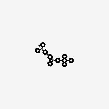 Fc1ccccc1N(c1ccccc1)c1ccc(-c2ccc3c(c2)c2ccccc2n3-c2ccc(-c3c4ccccc4c(-c4ccccc4)c4ccccc34)cc2)cc1